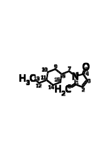 C=C1C=CC(=O)N1CC1CCC(CC)CC1